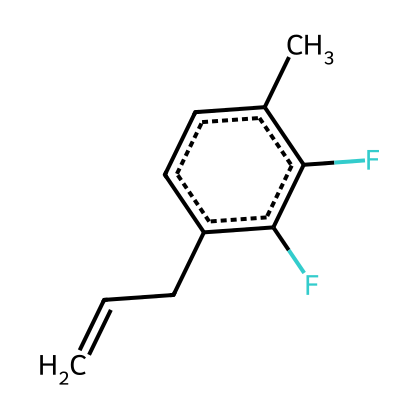 C=CCc1ccc(C)c(F)c1F